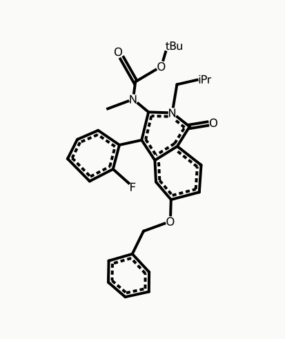 CC(C)Cn1c(N(C)C(=O)OC(C)(C)C)c(-c2ccccc2F)c2cc(OCc3ccccc3)ccc2c1=O